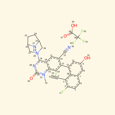 C#Cc1c(F)ccc2cc(O)cc(-c3c(C#N)cc4c(N5CC6CCC(C5)N6)nc(=O)n(C)c4c3F)c12.O=C(O)C(F)(F)F